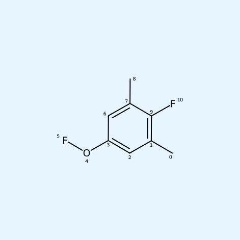 Cc1cc(OF)cc(C)c1F